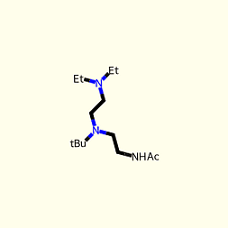 CCN(CC)CCN(CCNC(C)=O)C(C)(C)C